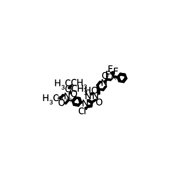 C[C@@H]1CN(C(=O)OC(C)(C)C)[C@@H](c2ccc(-n3c(Cl)cc4c(=O)n(CC5(O)CCN(C(=O)C[C@H](c6ccccc6)C(F)(F)F)CC5)cnc43)cc2)CO1